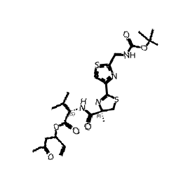 C=CC(CC(C)=O)OC(=O)[C@@H](NC(=O)[C@]1(C)CSC(c2csc(CNC(=O)OC(C)(C)C)n2)=N1)C(C)C